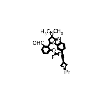 CC(C)N1CC(C#Cc2ccc3nc4n(c3c2)C(c2c(C=O)cccc2OC(F)F)CC4N(C)C)C1